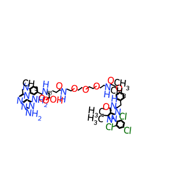 CC(C)c1nn(-c2c(Cl)cc(Cl)cc2Cl)c2nc(Cc3ccc(OC(C)(C)C(=O)NCCOCCOCCOCCNC(=O)CC[C@@H](NC(=O)c4ccc(N(C)Cc5cnc6nc(N)nc(N)c6n5)cc4)C(=O)O)cc3)[nH]c(=O)c12